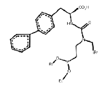 CCOP(CCN(CC(C)C)C(=O)N[C@@H](Cc1ccc(-c2ccccc2)cc1)C(=O)O)OCC